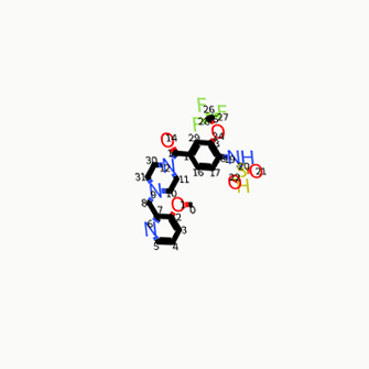 COc1cccnc1CN1CCN(C(=O)c2ccc(N[SH](=O)=O)c(OC(F)(F)F)c2)CC1